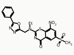 CCN(Cc1nnc(-c2ccccc2)o1)c1nc(=O)c2cc(S(C)(=O)=O)cc([N+](=O)[O-])c2s1